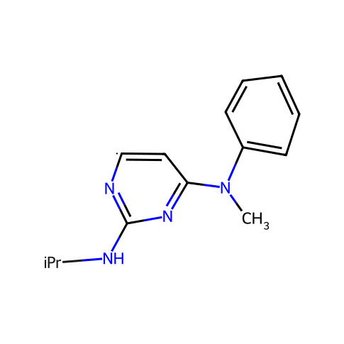 CC(C)Nc1n[c]cc(N(C)c2ccccc2)n1